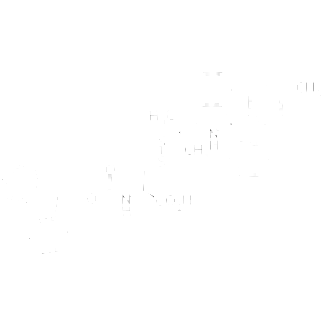 Cc1ccc(C(NCC(C)(C)SSC[C@H](NC(=O)OCC2c3ccccc3-c3ccccc32)C(=O)O)(c2ccccc2)c2ccccc2)cc1